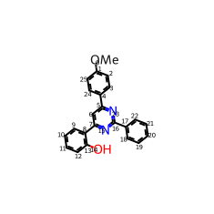 COc1ccc(-c2cc(-c3ccccc3O)nc(-c3ccccc3)n2)cc1